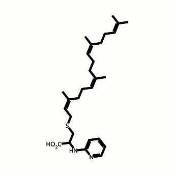 CC(C)=CCCC(C)=CCCC(C)=CCCC(C)=CCSCC(Nc1ccccn1)C(=O)O